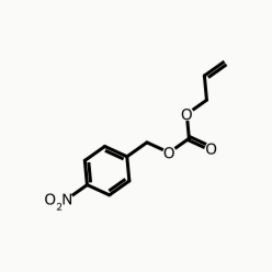 C=CCOC(=O)OCc1ccc([N+](=O)[O-])cc1